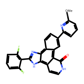 COc1cccc(-c2ccc3c(c2)c2c(=O)[nH]ccc2c2[nH]c(-c4c(F)cccc4F)nc32)n1